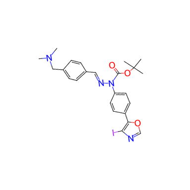 CN(C)Cc1ccc(C=NN(C(=O)OC(C)(C)C)c2ccc(-c3ocnc3I)cc2)cc1